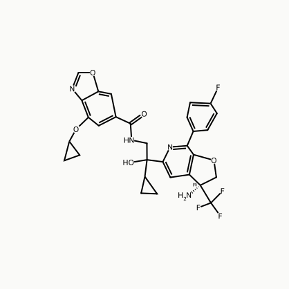 N[C@@]1(C(F)(F)F)COc2c1cc(C(O)(CNC(=O)c1cc(OC3CC3)c3ncoc3c1)C1CC1)nc2-c1ccc(F)cc1